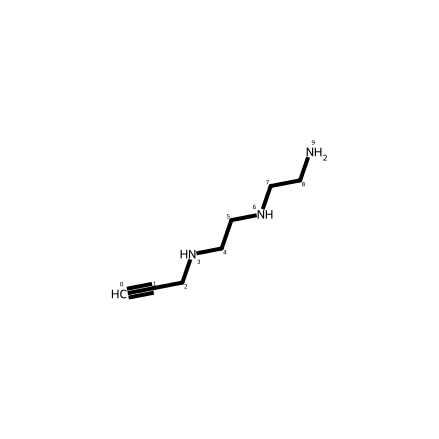 C#CCNCCNCCN